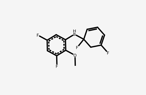 COc1c(F)cc(F)cc1BC1(F)C=CC=C(F)C1